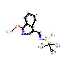 COc1ncc(/C=N/[S@+]([O-])C(C)(C)C)c2ccccc12